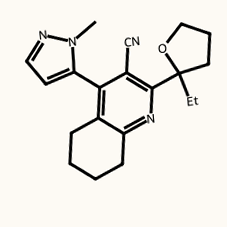 CCC1(c2nc3c(c(-c4ccnn4C)c2C#N)CCCC3)CCCO1